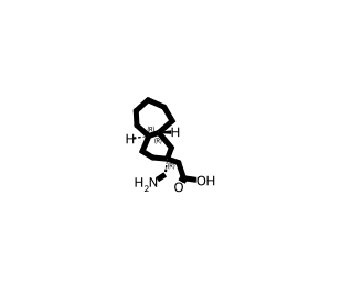 NC[C@]1(CC(=O)O)CC[C@H]2CCCCC[C@@H]2C1